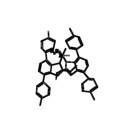 CCC1=Cc2c(-c3ccc(C)cc3)ccc(-c3ccc(C)cc3)c2[CH]1[Zr]([CH3])([CH3])(=[SiH2])[CH]1C(CC)=Cc2c(-c3ccc(C)cc3)ccc(-c3ccc(C)cc3)c21